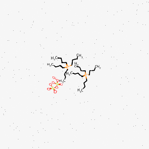 CCCC[P+](CCCC)(CCCC)CCCC.CCCC[P+](CCCC)(CCCC)CCCC.O=S(=O)([O-])OS(=O)(=O)O[O-]